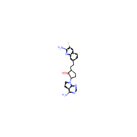 Nc1nc2cc(CCC3CCC(n4ccc5c(N)ncnc54)[C@H]3O)ccc2cc1F